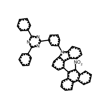 O=[N+]([O-])c1c(-c2cccc3c2c2ccccc2n3-c2cccc(-c3nc(-c4ccccc4)nc(-c4ccccc4)n3)c2)c2ccccc2c2ccccc12